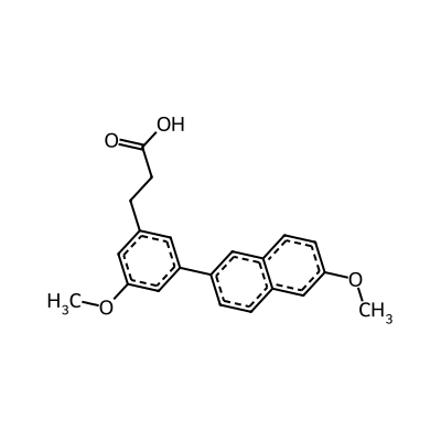 COc1cc(CCC(=O)O)cc(-c2ccc3cc(OC)ccc3c2)c1